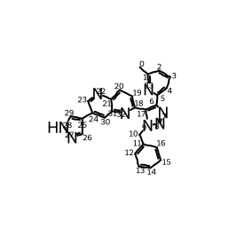 Cc1cccc(-c2nnn(Cc3ccccc3)c2-c2ccc3ncc(-c4cn[nH]c4)cc3n2)n1